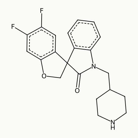 O=C1N(CC2CCNCC2)c2ccccc2C12COc1cc(F)c(F)cc12